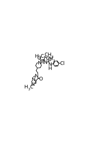 CN1C=C2C(=O)N(CCC3CCN(C(=O)[C@H](NC(=O)Nc4ccc(Cl)cc4)C(C)(C)C)CC3)CN2C1